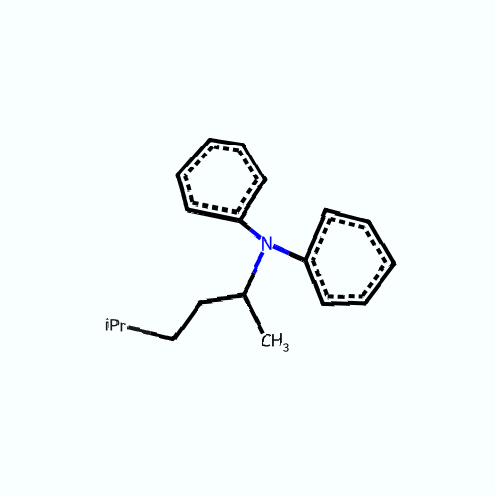 CC(C)CCC(C)N(c1ccccc1)c1ccccc1